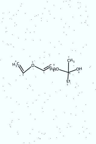 C=COC=C.CCC(C)(O)O